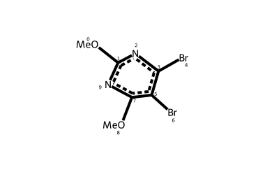 COc1nc(Br)c(Br)c(OC)n1